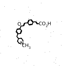 CN1CCC(Cc2ccc(C(=O)C=Cc3ccc(C=CC(=O)O)cc3)cc2)CC1